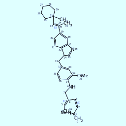 C=C(/C=C\C(=C/C)CNc1ccc(CC2C=Nc3cc(/C(C)=C/C4(C)CCCCC4)ccc32)cc1OC)NC